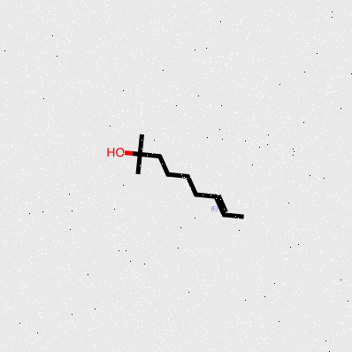 C/C=C/CCCCC(C)(C)O